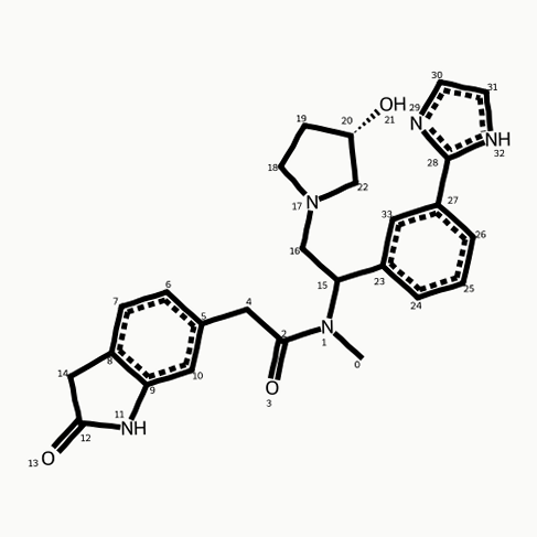 CN(C(=O)Cc1ccc2c(c1)NC(=O)C2)C(CN1CC[C@H](O)C1)c1cccc(-c2ncc[nH]2)c1